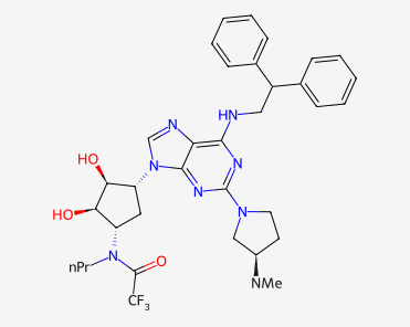 CCCN(C(=O)C(F)(F)F)[C@H]1C[C@@H](n2cnc3c(NCC(c4ccccc4)c4ccccc4)nc(N4CC[C@@H](NC)C4)nc32)[C@H](O)[C@@H]1O